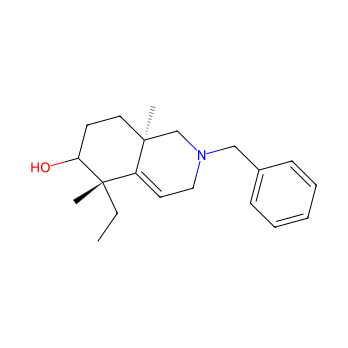 CC[C@@]1(C)C2=CCN(Cc3ccccc3)C[C@]2(C)CCC1O